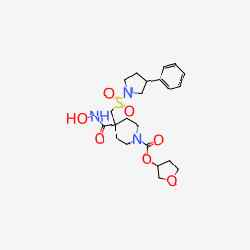 O=C(O[C@H]1CCOC1)N1CCC(CS(=O)(=O)N2CCC(c3ccccc3)C2)(C(=O)NO)CC1